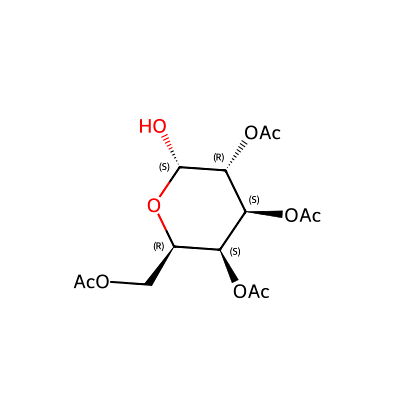 CC(=O)OC[C@H]1O[C@H](O)[C@H](OC(C)=O)[C@@H](OC(C)=O)[C@H]1OC(C)=O